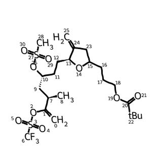 C=C(OS(=O)(=O)C(F)(F)F)[C@H](C)C[C@@H](CC[C@@H]1OC(CCCOC(=O)C(C)(C)C)CC1=C)OS(C)(=O)=O